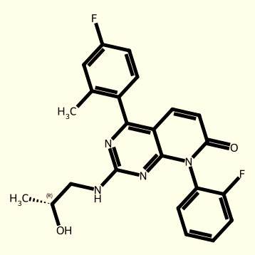 Cc1cc(F)ccc1-c1nc(NC[C@@H](C)O)nc2c1ccc(=O)n2-c1ccccc1F